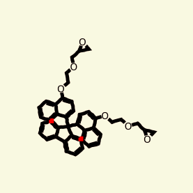 c1ccc2c(c1)-c1ccccc1C2(c1ccc(OCCOCC2CO2)c2ccccc12)c1ccc(OCCOCC2CO2)c2ccccc12